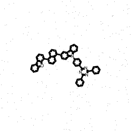 c1ccc(-c2nc(-c3ccccc3)nc(-c3ccc(-n4c5ccccc5c5cc(-c6cccc7c(-c8cccc9c8oc8ccccc89)cccc67)ccc54)cc3)n2)cc1